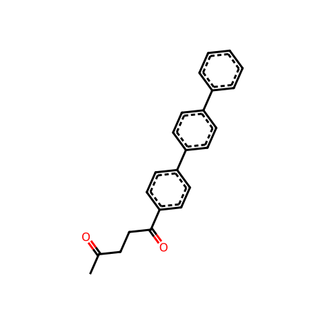 CC(=O)CCC(=O)c1ccc(-c2ccc(-c3ccccc3)cc2)cc1